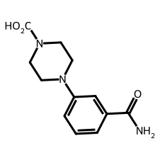 NC(=O)c1cccc(N2CCN(C(=O)O)CC2)c1